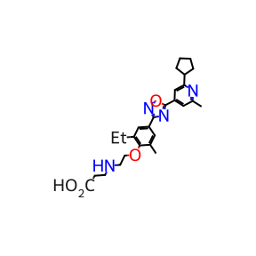 CCc1cc(-c2noc(-c3cc(C)nc(C4CCCC4)c3)n2)cc(C)c1OCCNCCC(=O)O